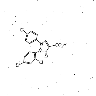 O=C(O)c1cn(-c2ccc(Cl)cc2)n(-c2ccc(Cl)cc2Cl)c1=O